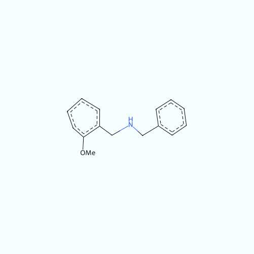 COc1ccccc1CNCc1ccccc1